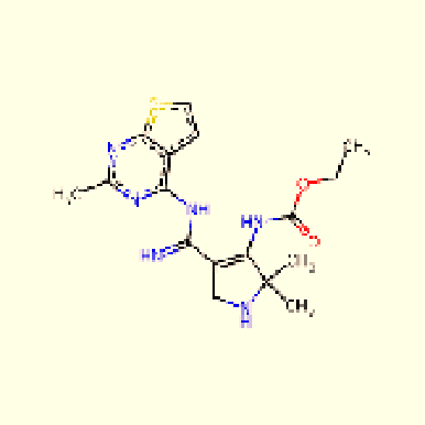 CCOC(=O)NC1=C(C(=N)Nc2nc(C)nc3sccc23)CNC1(C)C